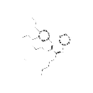 CCCCCC(=Nc1ccccc1)C(CCCC)=Nc1ccc(CCC)c(CCC)c1.[Ni]